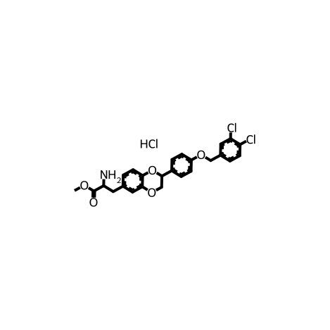 COC(=O)C(N)Cc1ccc2c(c1)OCC(c1ccc(OCc3ccc(Cl)c(Cl)c3)cc1)O2.Cl